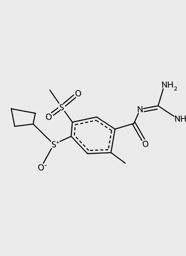 Cc1cc([S+]([O-])C2CCC2)c(S(C)(=O)=O)cc1C(=O)N=C(N)N